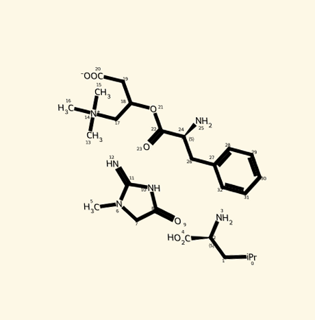 CC(C)C[C@H](N)C(=O)O.CN1CC(=O)NC1=N.C[N+](C)(C)CC(CC(=O)[O-])OC(=O)[C@@H](N)Cc1ccccc1